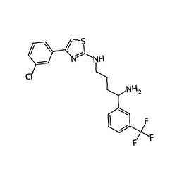 NC(CCCNc1nc(-c2cccc(Cl)c2)cs1)c1cccc(C(F)(F)F)c1